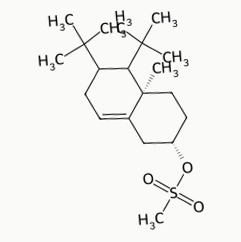 CC(C)(C)C1CC=C2C[C@@H](OS(C)(=O)=O)CC[C@]2(C)C1C(C)(C)C